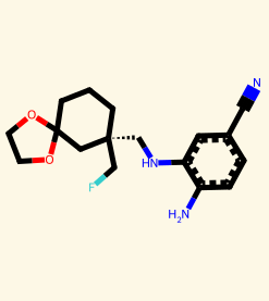 N#Cc1ccc(N)c(NC[C@@]2(CF)CCCC3(C2)OCCO3)c1